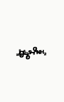 NC(=O)CSC(=O)c1ccco1